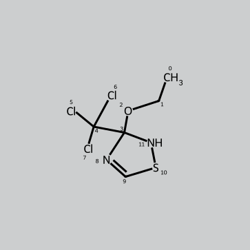 CCOC1(C(Cl)(Cl)Cl)N=CSN1